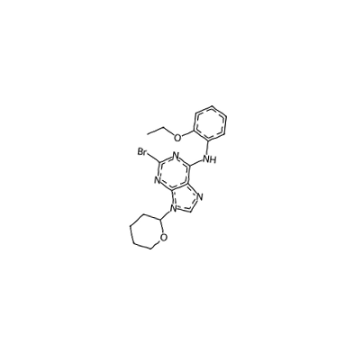 CCOc1ccccc1Nc1nc(Br)nc2c1ncn2C1CCCCO1